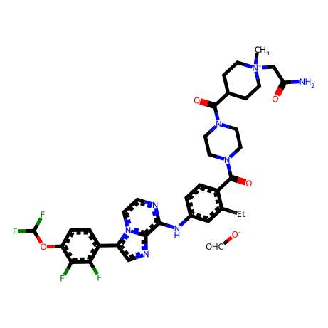 CCc1cc(Nc2nccn3c(-c4ccc(OC(F)F)c(F)c4F)cnc23)ccc1C(=O)N1CCN(C(=O)C2CC[N+](C)(CC(N)=O)CC2)CC1.O=C[O-]